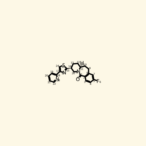 O=C1c2ccc(F)cc2CC[C@@H]2CC[C@H](c3nc(-c4ccccn4)cs3)CN12